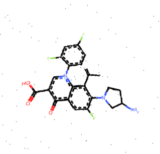 C=C(C)c1c(N2CCC(N)C2)c(F)cc2c(=O)c(C(=O)O)cn(-c3ccc(F)cc3F)c12